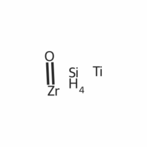 [O]=[Zr].[SiH4].[Ti]